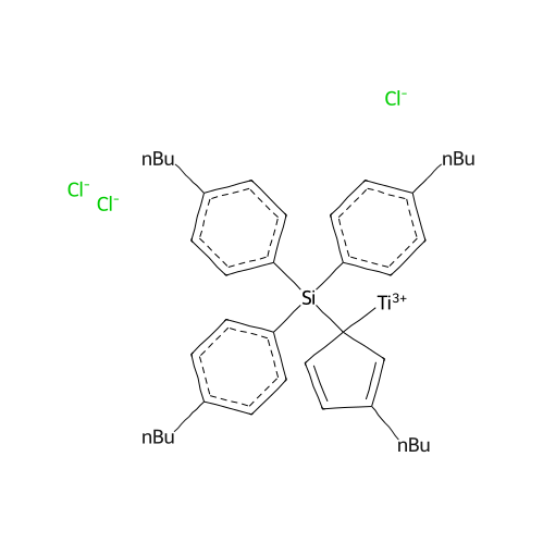 CCCCC1=C[C]([Ti+3])([Si](c2ccc(CCCC)cc2)(c2ccc(CCCC)cc2)c2ccc(CCCC)cc2)C=C1.[Cl-].[Cl-].[Cl-]